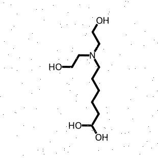 OCCN(CCO)CCCCCC(O)O